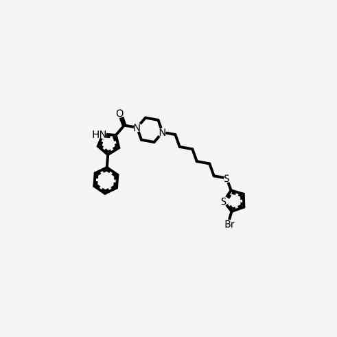 O=C(c1cc(-c2ccccc2)c[nH]1)N1CCN(CCCCCCSc2ccc(Br)s2)CC1